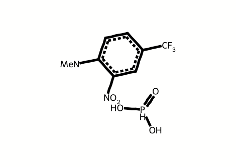 CNc1ccc(C(F)(F)F)cc1[N+](=O)[O-].O=[PH](O)O